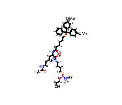 COc1ccc(C(OCCCCCC(=O)NC(CCCCNC(=O)C(F)(F)F)C(=O)NCCCCOP(OCCC#N)N(C(C)C)C(C)C)(c2ccccc2)c2ccc(OC)cc2)cc1